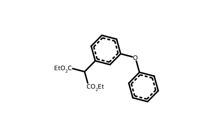 CCOC(=O)C(C(=O)OCC)c1cccc(Oc2ccccc2)c1